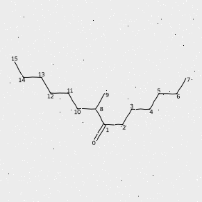 C=C(CCCCCC)C(C)CCCCCC